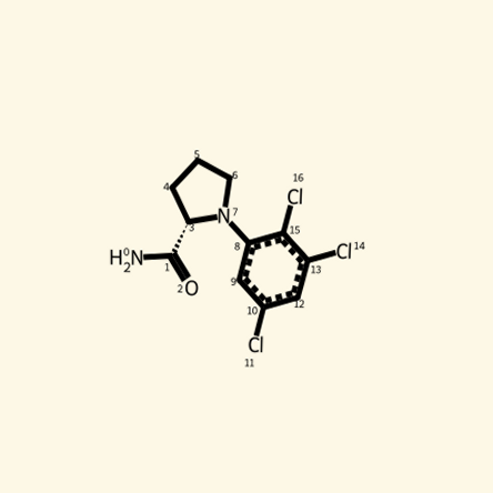 NC(=O)[C@@H]1CCCN1c1cc(Cl)cc(Cl)c1Cl